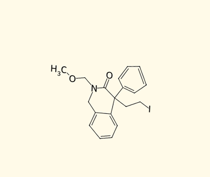 COCN1Cc2ccccc2C(CCI)(c2ccccc2)C1=O